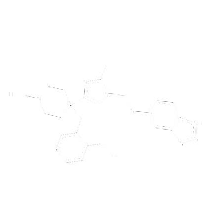 Cc1nc(C2(Cc3ccccc3SC(F)(F)F)CCN(C(=O)O)CC2)sc1CNc1ccc2[nH]nnc2c1